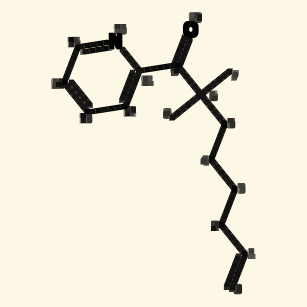 C=CCCCCC(C)(C)C(=O)c1ccccn1